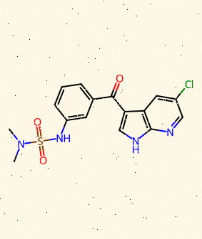 CN(C)S(=O)(=O)Nc1cccc(C(=O)c2c[nH]c3ncc(Cl)cc23)c1